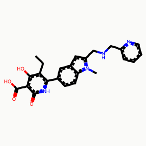 CCc1c(-c2ccc3c(c2)cc(CNCc2ccccn2)n3C)[nH]c(=O)c(C(=O)O)c1O